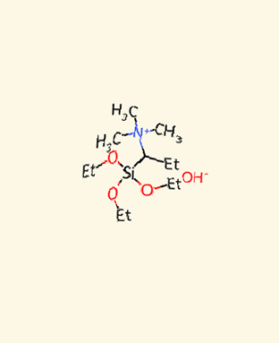 CCO[Si](OCC)(OCC)C(CC)[N+](C)(C)C.[OH-]